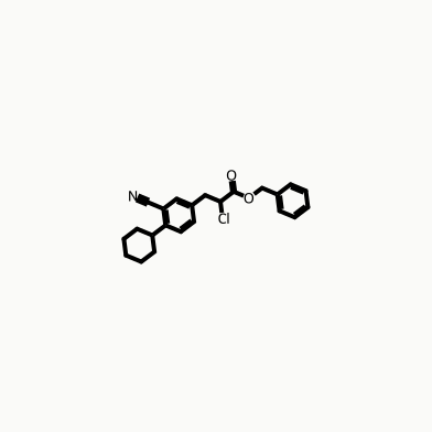 N#Cc1cc(CC(Cl)C(=O)OCc2ccccc2)ccc1C1CCCCC1